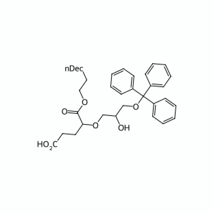 CCCCCCCCCCCCOC(=O)C(CCC(=O)O)OCC(O)COC(c1ccccc1)(c1ccccc1)c1ccccc1